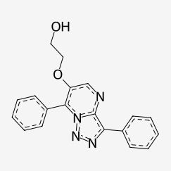 OCCOc1cnc2c(-c3ccccc3)nnn2c1-c1ccccc1